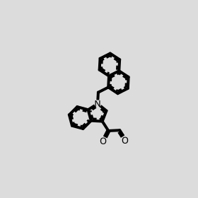 O=CC(=O)c1cn(Cc2cccc3ccccc23)c2ccccc12